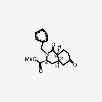 COC(=O)[C@@H]1C[C@H]2CC(=O)CC[C@H]2C(=O)N1Cc1ccccc1